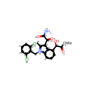 COC(=O)C(O)c1cccc2c1c(C(=O)C(N)=O)c(C)n2Cc1c(Cl)cccc1Cl